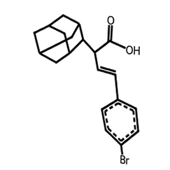 O=C(O)C(C=Cc1ccc(Br)cc1)C1C2CC3CC(C2)CC1C3